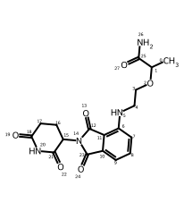 CC(OCCNc1cccc2c1C(=O)N(C1CCC(=O)NC1=O)C2=O)C(N)=O